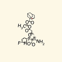 C[C@@H](OC(=O)C[C@@H](C[C@@H]1C(N)[C@@]1(F)C(=O)O)OCc1ccc(F)cc1)OC(=O)C12CC3CC(CC(C3)C1)C2